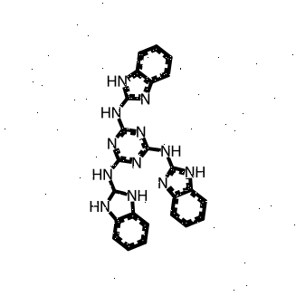 c1ccc2c(c1)NC(Nc1nc(Nc3nc4ccccc4[nH]3)nc(Nc3nc4ccccc4[nH]3)n1)N2